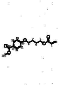 C=CC(=O)OCCCCOc1ccc(C(=O)OI)cc1